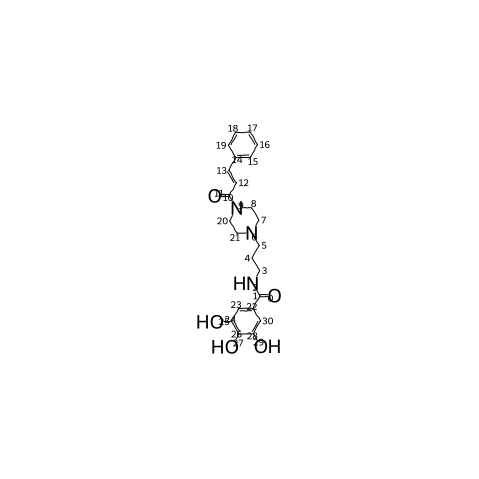 O=C(NCCCN1CCN(C(=O)/C=C/c2ccccc2)CC1)c1cc(O)c(O)c(O)c1